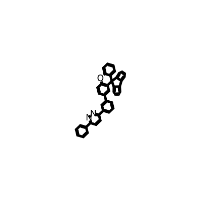 c1ccc(-c2ccc(-c3cccc(-c4ccc5c(c4)C4(c6ccccc6O5)c5ccccc5-c5ccccc54)c3)nn2)cc1